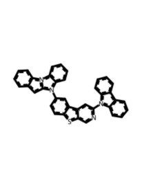 c1ccc2c(c1)cc1n(-c3ccc4sc5cnc(-n6c7ccccc7c7ccccc76)cc5c4c3)c3ccccc3n21